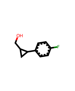 OCC1CC1c1ccc(F)cc1